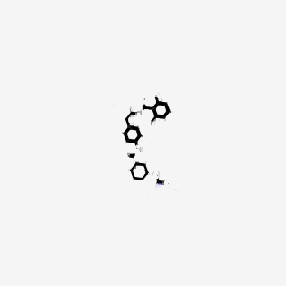 N#C/N=C(\N)N[C@@H]1CCC[C@@H](C(=O)Nc2ccc(C[C@H](NC(=O)c3c(Cl)cccc3Cl)C(=O)O)cc2)C1